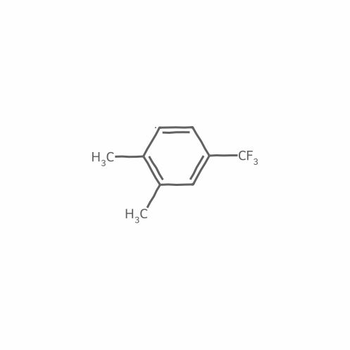 Cc1[c]cc(C(F)(F)F)cc1C